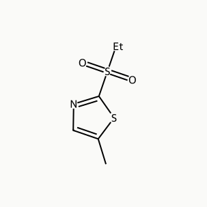 CCS(=O)(=O)c1ncc(C)s1